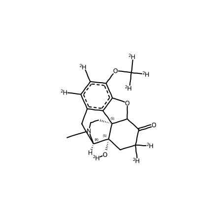 [2H]O[C@@]12CC([2H])([2H])C(=O)C3Oc4c(OC([2H])([2H])[2H])c([2H])c([2H])c5c4[C@@]31CCN(C)[C@@H]2C5